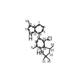 Cc1cc(-c2cccc3c(C)c[nH]c23)c(Cl)c2c1NC(C)(C)CC2C